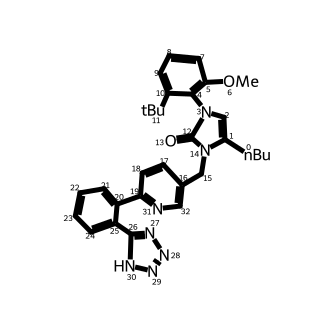 CCCCc1cn(-c2c(OC)cccc2C(C)(C)C)c(=O)n1Cc1ccc(-c2ccccc2-c2nnn[nH]2)nc1